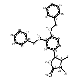 CC1C(c2ccc(OCc3ccccc3)c(OCc3ccccc3)c2)OC(=O)N1C